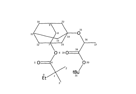 CCC(C)(C)C(=O)OC12CC3CC(C1)CC(OC(C)C(=O)OC(C)(C)C)(C3)C2